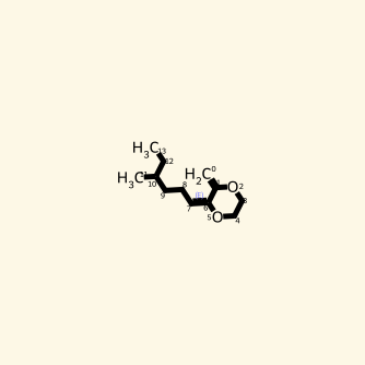 C=C1OCCO/C1=C/CCC(C)CC